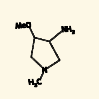 COC1CN(C)CC1N